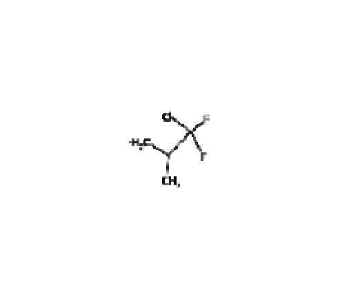 [CH2]C(C)C(F)(F)Cl